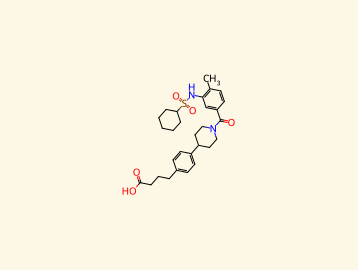 Cc1ccc(C(=O)N2CCC(c3ccc(CCCC(=O)O)cc3)CC2)cc1NS(=O)(=O)C1CCCCC1